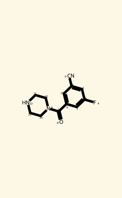 N#Cc1cc(F)cc(C(=O)N2CCNCC2)c1